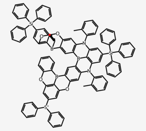 Cc1ccccc1N1c2cc3c(cc2B2c4cc5c(cc4N(c4ccccc4C)c4cc([Si](c6ccccc6)(c6ccccc6)c6ccccc6)cc1c42)Oc1cc([Si](c2ccccc2)(c2ccccc2)c2ccccc2)cc2c1B5c1ccccc1O2)B1c2ccccc2Oc2cc([S+](c4ccccc4)c4ccccc4)cc(c21)O3